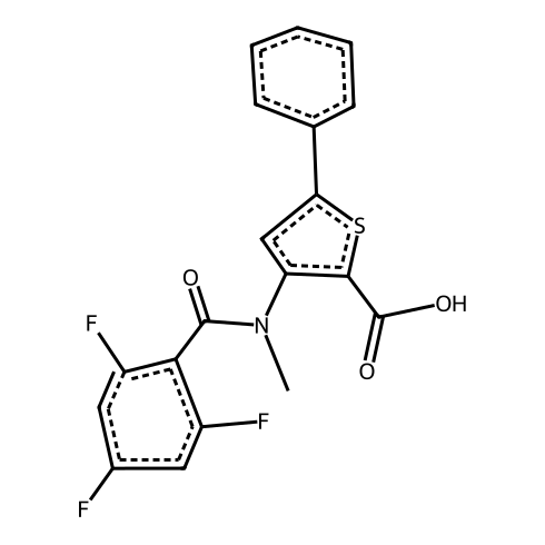 CN(C(=O)c1c(F)cc(F)cc1F)c1cc(-c2ccccc2)sc1C(=O)O